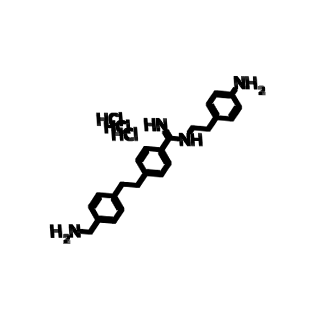 Cl.Cl.Cl.N=C(NCCc1ccc(N)cc1)c1ccc(CCc2ccc(CN)cc2)cc1